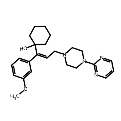 COc1cccc(C(=CCN2CCN(c3ncccn3)CC2)C2(O)CCCCC2)c1